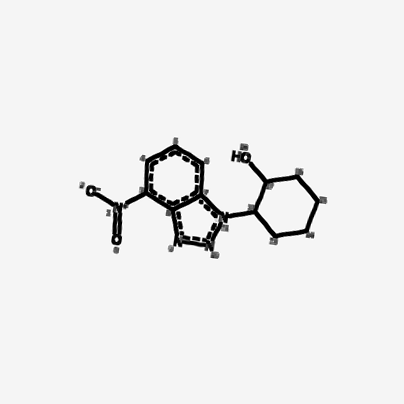 O=[N+]([O-])c1cccc2c1nnn2C1CCCCC1O